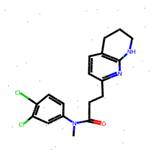 CN(C(=O)CCc1ccc2c(n1)NCCC2)c1ccc(Cl)c(Cl)c1